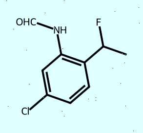 CC(F)c1ccc(Cl)cc1NC=O